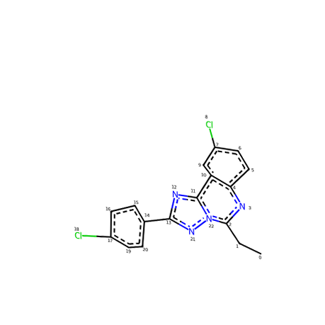 CCc1nc2ccc(Cl)cc2c2nc(-c3ccc(Cl)cc3)nn12